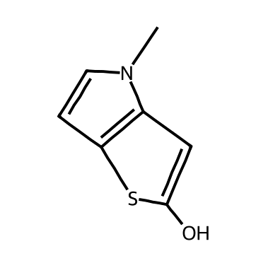 Cn1ccc2sc(O)cc21